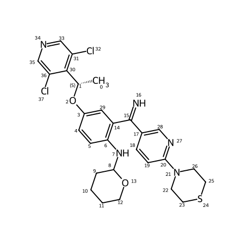 C[C@H](Oc1ccc(NC2CCCCO2)c(C(=N)c2ccc(N3CCSCC3)nc2)c1)c1c(Cl)cncc1Cl